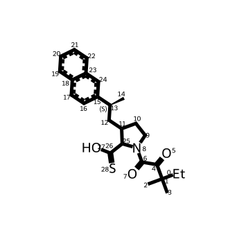 CCC(C)(C)C(=O)C(=O)N1CCC(C[C@H](C)c2ccc3ccccc3c2)C1C(O)=S